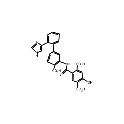 O=C(O)c1cc(C(=O)Nc2cc(-c3ccccc3-c3c[nH]cn3)ccc2C(=O)O)c(C(=O)O)cc1O